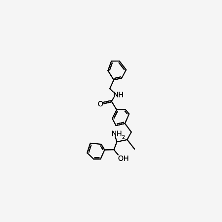 CC(Cc1ccc(C(=O)NCc2ccccc2)cc1)C(N)C(O)c1ccccc1